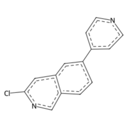 Clc1cc2cc(-c3ccncc3)ccc2cn1